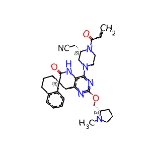 C=CC(=O)N1CCN(c2nc(OC[C@@H]3CCCN3C)nc3c2NC(=O)[C@]2(CCCc4ccccc42)C3)C[C@@H]1CC#N